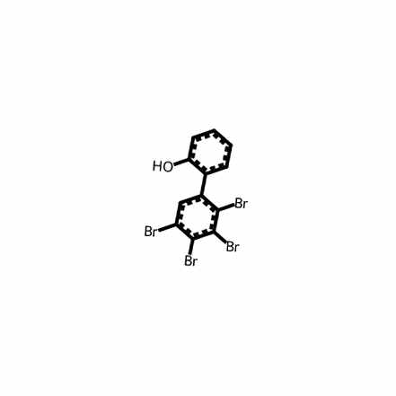 Oc1ccccc1-c1cc(Br)c(Br)c(Br)c1Br